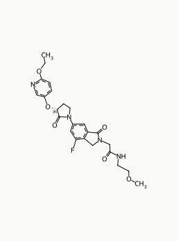 CCOc1ccc(O[C@@H]2CCN(c3cc(F)c4c(c3)C(=O)N(CC(=O)NCCOC)C4)C2=O)cn1